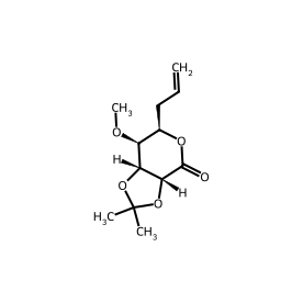 C=CC[C@H]1OC(=O)[C@@H]2OC(C)(C)O[C@@H]2[C@H]1OC